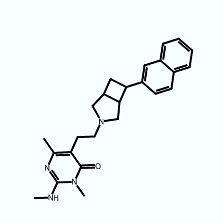 CNc1nc(C)c(CCN2CC3CC(c4ccc5ccccc5c4)C3C2)c(=O)n1C